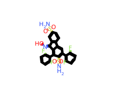 NS(=O)(=O)c1ccc2c(c1)C(=NO)c1c-2cc(-c2c(F)cccc2F)c(S(N)(=O)=O)c1-c1c(F)cccc1F